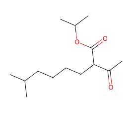 CC(=O)C(CCCCC(C)C)C(=O)OC(C)C